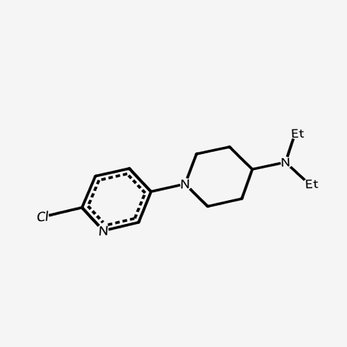 CCN(CC)C1CCN(c2ccc(Cl)nc2)CC1